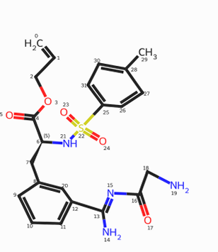 C=CCOC(=O)[C@H](Cc1cccc(C(N)=NC(=O)CN)c1)NS(=O)(=O)c1ccc(C)cc1